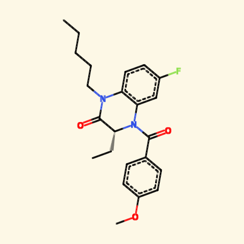 CCCCCN1C(=O)[C@@H](CC)N(C(=O)c2ccc(OC)cc2)c2cc(F)ccc21